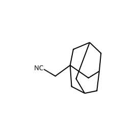 N#CCC12CC3CC(CC(C3)C1)C2